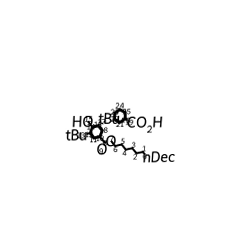 CCCCCCCCCCCCCCCCOC(=O)c1cc(C(C)(C)C)c(O)c(C(C)(C)C)c1.O=C(O)c1ccccc1